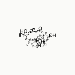 CC(C)CCCC(C)[C@H]1CC[C@H]2[C@@H]3CC=C4C[C@@H](O)CC[C@]4(C)[C@H]3CC[C@]12C.O=C(O)OCC1CO1